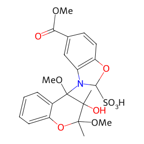 COC(=O)c1ccc2c(c1)N(C1(OC)c3ccccc3OC(C)(OC)C1(C)O)C(S(=O)(=O)O)O2